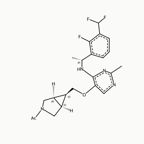 CC(=O)N1C[C@@H]2[C@H](COc3cnc(C)nc3N[C@H](C)c3cccc(C(F)F)c3F)[C@@H]2C1